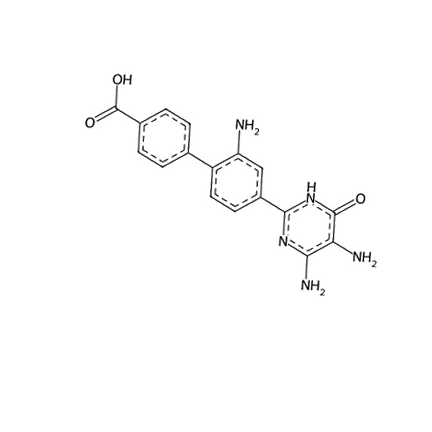 Nc1cc(-c2nc(N)c(N)c(=O)[nH]2)ccc1-c1ccc(C(=O)O)cc1